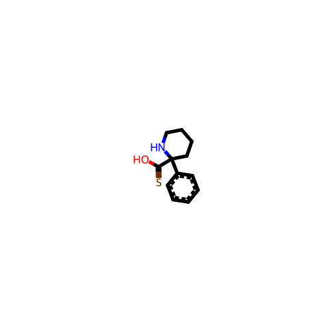 OC(=S)C1(c2ccccc2)CCCCN1